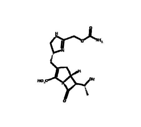 C[C@@H](O)[C@H]1C(=O)N2C(C(=O)O)=C(C[C@@H]3CNC(COC(N)=O)=N3)C[C@H]12